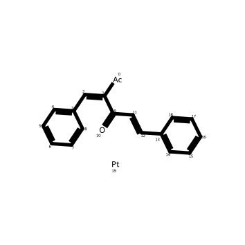 CC(=O)C(=Cc1ccccc1)C(=O)C=Cc1ccccc1.[Pt]